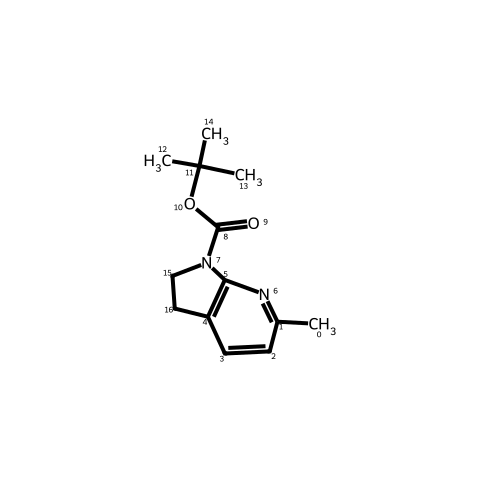 Cc1ccc2c(n1)N(C(=O)OC(C)(C)C)CC2